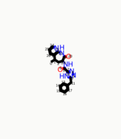 CC1C[C@H](NC(=O)c2nnc(Cc3ccccc3)[nH]2)C(=O)Nc2ncccc21